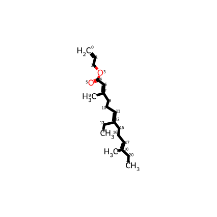 C=CCOC(=O)/C=C(\C)CC/C=C(\CC)CC/C=C(\C)CC